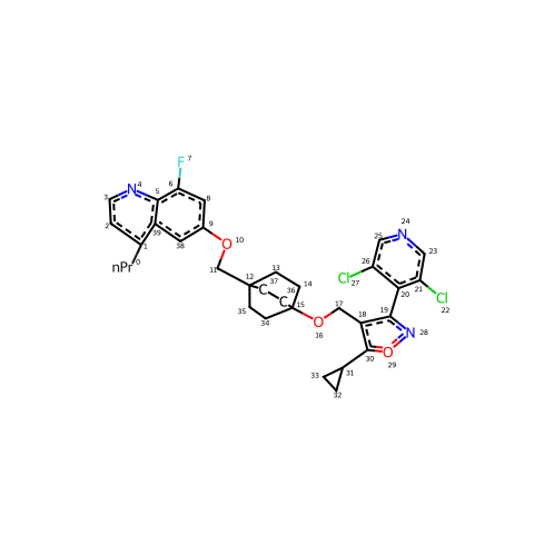 CCCc1ccnc2c(F)cc(OCC34CCC(OCc5c(-c6c(Cl)cncc6Cl)noc5C5CC5)(CC3)CC4)cc12